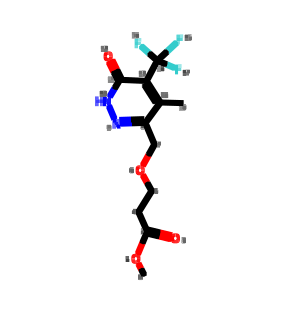 COC(=O)CCOCc1n[nH]c(=O)c(C(F)(F)F)c1C